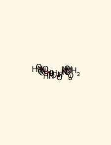 NC(=O)c1c(-c2ccc(Oc3ccccc3)cc2)nn2c1NCC[C@H]2C1CCN(C(=O)CC[C@H]2CC[C@H](NC(=O)CNc3ccc4c(c3)C(=O)N(C3CCC(=O)NC3=O)C4=O)CC2)CC1